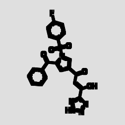 O=C(C=C(O)c1nn[nH]n1)c1cc(C(=O)c2ccccc2)n(S(=O)(=O)c2ccc(F)cc2)c1